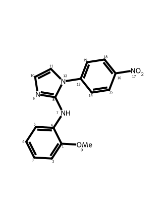 COc1ccccc1Nc1nccn1-c1ccc([N+](=O)[O-])cc1